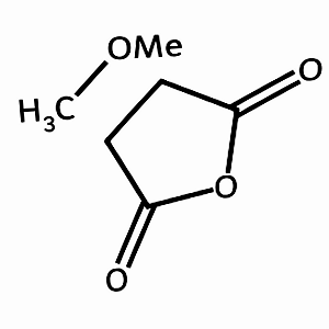 COC.O=C1CCC(=O)O1